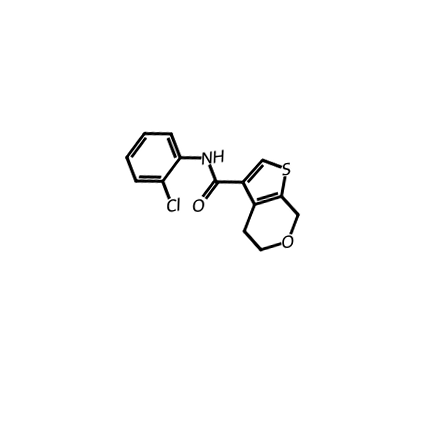 O=C(Nc1ccccc1Cl)c1csc2c1CCOC2